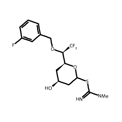 CNC(=N)SC1C[C@@H](O)C[C@@H]([C@@H](OCc2cccc(F)c2)C(F)(F)F)O1